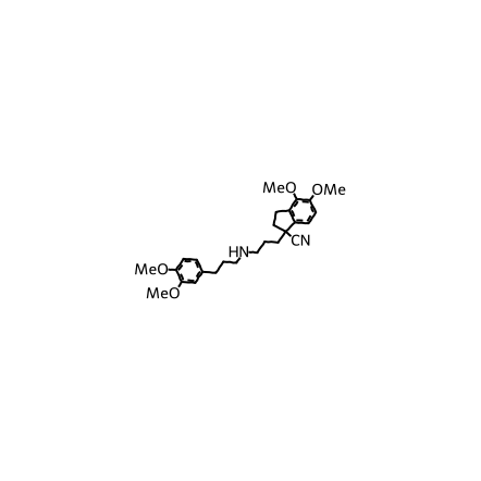 COc1ccc(CCCNCCCC2(C#N)CCc3c2ccc(OC)c3OC)cc1OC